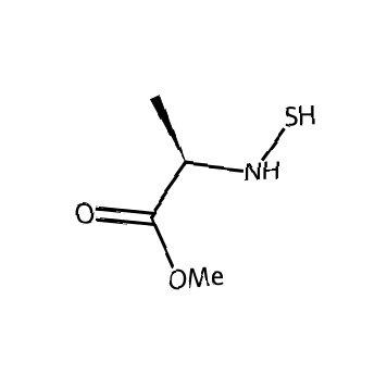 COC(=O)[C@@H](C)NS